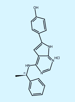 C[C@@H](Nc1ncnc2[nH]c(-c3ccc(O)cc3)cc12)c1ccccc1.Cl